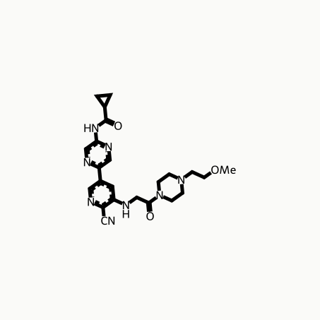 COCCN1CCN(C(=O)CNc2cc(-c3cnc(NC(=O)C4CC4)cn3)cnc2C#N)CC1